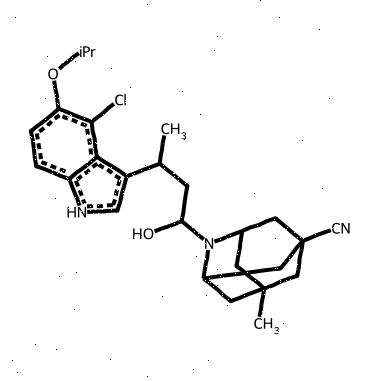 CC(C)Oc1ccc2[nH]cc(C(C)CC(O)N3C4CC5(C)CC3CC(C#N)(C4)C5)c2c1Cl